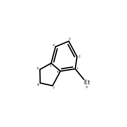 CCc1cccc2c1CCC2